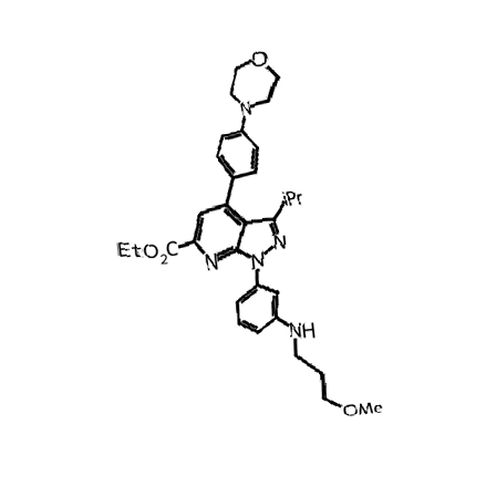 CCOC(=O)c1cc(-c2ccc(N3CCOCC3)cc2)c2c(C(C)C)nn(-c3cccc(NCCCOC)c3)c2n1